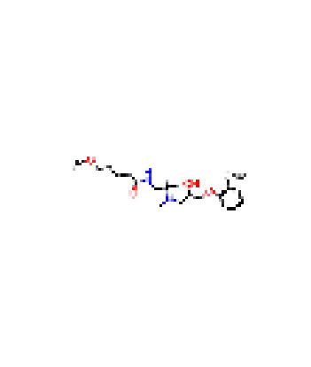 COc1ccccc1OCC(O)CN(C)C(C)(I)CNC(=O)CCCCO[N+](=O)[O-]